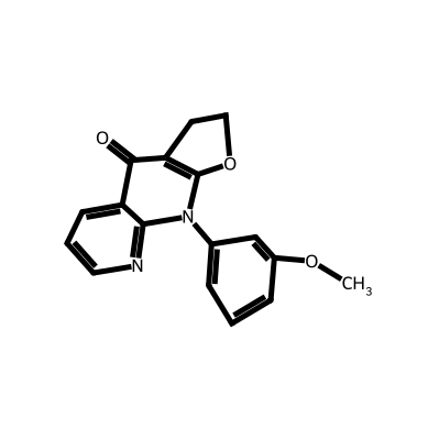 COc1cccc(-n2c3c(c(=O)c4cccnc42)CCO3)c1